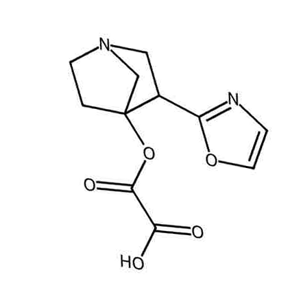 O=C(O)C(=O)OC12CCN(CC1c1ncco1)C2